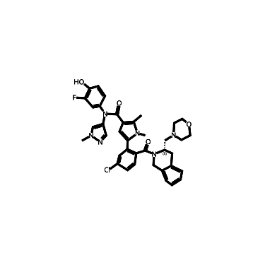 Cc1c(C(=O)N(c2ccc(O)c(F)c2)c2cnn(C)c2)cc(-c2cc(Cl)ccc2C(=O)N2Cc3ccccc3C[C@H]2CN2CCOCC2)n1C